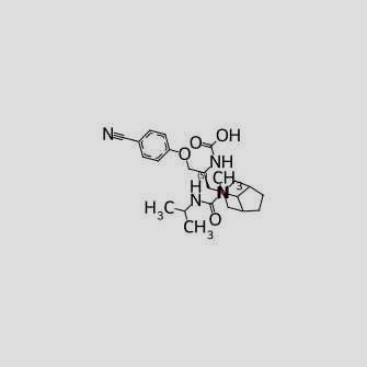 CC(C)NC(=O)N(C)C1C2CCC1CN(C[C@@H](COc1ccc(C#N)cc1)NC(=O)O)C2